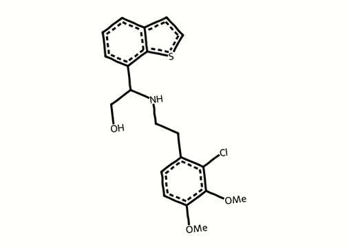 COc1ccc(CCNC(CO)c2cccc3ccsc23)c(Cl)c1OC